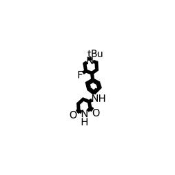 CC(C)(C)N1CCC(c2ccc(NC3CCC(=O)NC3=O)cc2)C(F)C1